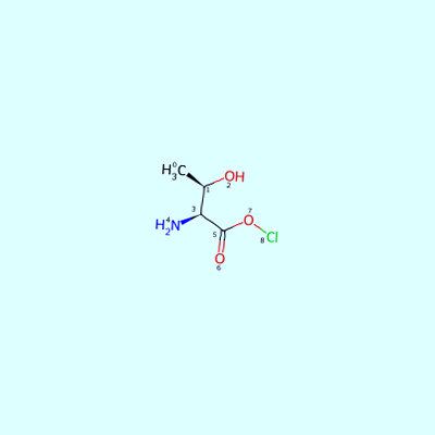 C[C@@H](O)[C@H](N)C(=O)OCl